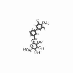 CC(=O)Oc1c(C)cc(-c2cccc(CO[C@@H]3O[C@H](CO)[C@@H](O)[C@H](O)[C@@H]3O)c2)cc1C